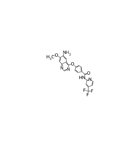 COc1cc2ncnc(Oc3ccc(C(=O)Nc4cc(C(F)(F)F)ccn4)cc3)c2cc1N